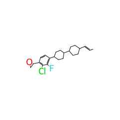 C/C=C/C1CCC(C2CCC(c3ccc(C4CO4)c(Cl)c3F)CC2)CC1